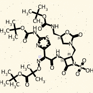 CC(C)(C)OC(=O)NC[C@@H]1CN(C[C@@H]2[C@H](NC(=O)/C(=N\OC(C)(C)C(=O)OC(C)(C)C)c3csc(NC(=O)OC(C)(C)C)n3)C(=O)N2S(=O)(=O)O)C(=O)O1